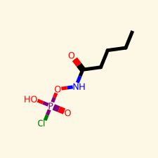 CCCCC(=O)NOP(=O)(O)Cl